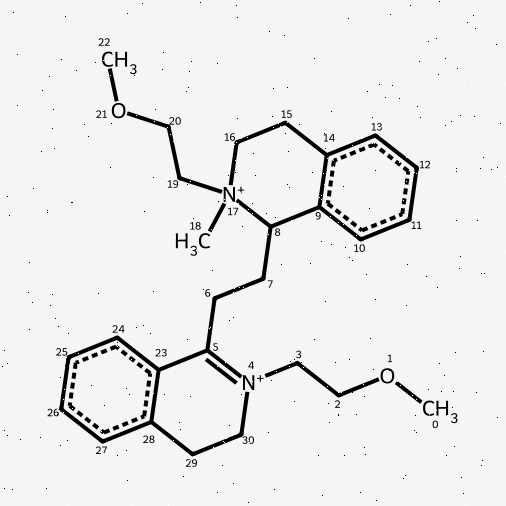 COCC[N+]1=C(CCC2c3ccccc3CC[N+]2(C)CCOC)c2ccccc2CC1